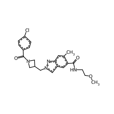 COCCNC(=O)c1cc2cn(CC3CN(C(=O)c4ccc(Cl)cc4)C3)nc2cc1C